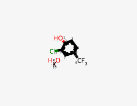 O.Oc1ccc(C(F)(F)F)cc1Cl.[K]